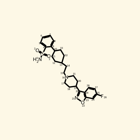 NS(=O)(=O)c1ccccc1C1CCC(CCN2CCC(c3noc4cc(F)ccc34)CC2)CC1